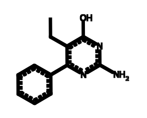 CCc1c(O)nc(N)nc1-c1ccccc1